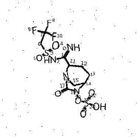 N=C(NS(=O)(=O)CC(F)(F)F)C1CCC2CN1C(=O)N2OS(=O)(=O)O